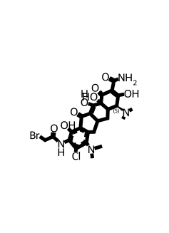 CN(C)c1c(Cl)c(NC(=O)CBr)c(O)c2c1CC1CC3[C@H](N(C)C)C(O)=C(C(N)=O)C(=O)C3(O)C(O)=C1C2=O